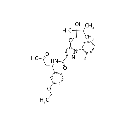 CCOc1cccc([C@H](CC(=O)O)NC(=O)c2cc(OCC(C)(O)C(C)C)n(-c3ccccc3F)n2)c1